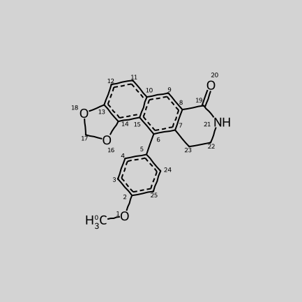 COc1ccc(-c2c3c(cc4ccc5c(c24)OCO5)C(=O)NCC3)cc1